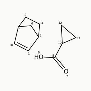 C1=CC2CCC1C2.O=C(O)C1CC1